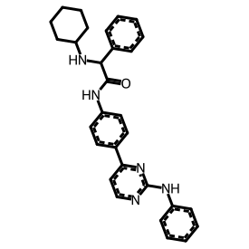 O=C(Nc1ccc(-c2ccnc(Nc3ccccc3)n2)cc1)C(NC1CCCCC1)c1ccccc1